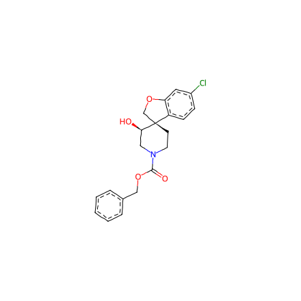 O=C(OCc1ccccc1)N1CC[C@]2(COc3cc(Cl)ccc32)[C@H](O)C1